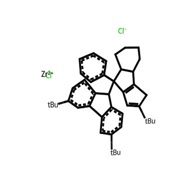 CC(C)(C)C1=CC2=C(C1)C1CCCCC1C2(c1ccccc1)C1c2ccc(C(C)(C)C)cc2-c2cc(C(C)(C)C)ccc21.[Cl-].[Cl-].[Zr+2]